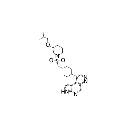 CC(C)COC1CCCN(S(=O)(=O)CC2CCC(c3cnnc4cnc5[nH]ccc5c34)CC2)C1